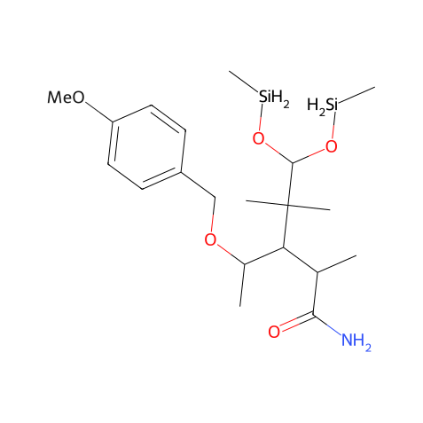 COc1ccc(COC(C)C(C(C)C(N)=O)C(C)(C)C(O[SiH2]C)O[SiH2]C)cc1